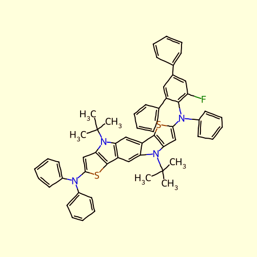 CC(C)(C)n1c2cc3c4sc(N(c5ccccc5)c5c(F)cc(-c6ccccc6)cc5-c5ccccc5)cc4n(C(C)(C)C)c3cc2c2sc(N(c3ccccc3)c3ccccc3)cc21